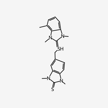 Cc1cccc2c1n(C)/c(=[SH]\Cc1ccc3c(c1)n(C)c(=S)n3C)n2C